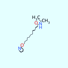 CCC(C)NC(=O)C=CC=CCCCCCCCOc1ccccn1